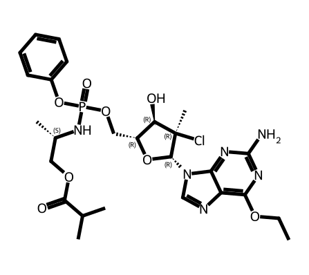 CCOc1nc(N)nc2c1ncn2[C@@H]1O[C@H](COP(=O)(N[C@@H](C)COC(=O)C(C)C)Oc2ccccc2)[C@@H](O)[C@@]1(C)Cl